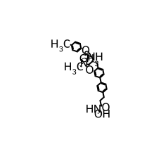 Cc1ccc(OSN[C@@H](Cc2ccc(-c3ccc(CCC(=O)NO)cc3)cc2)C(=O)N(C)C)cc1